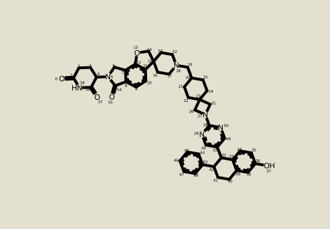 O=C1CCC(N2Cc3c(ccc4c3OCC43CCN(CC4CCC5(CC4)CN(c4ncc(C6c7ccc(O)cc7CCC6c6ccccc6)cn4)C5)CC3)C2=O)C(=O)N1